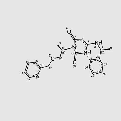 C[C@H](Nc1cc(=O)n([C@H](C)COCc2ccccc2)c(=O)[nH]1)c1ccccc1